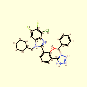 Fc1cc2c(nc(-c3cccc(-c4nnn[nH]4)c3OCc3ccccc3)n2CC2CCCCC2)c(Cl)c1F